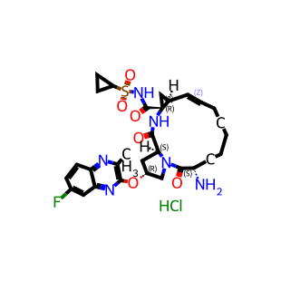 Cc1nc2ccc(F)cc2nc1O[C@@H]1C[C@H]2C(=O)N[C@]3(C(=O)NS(=O)(=O)C4CC4)C[C@H]3/C=C\CCCCC[C@H](N)C(=O)N2C1.Cl